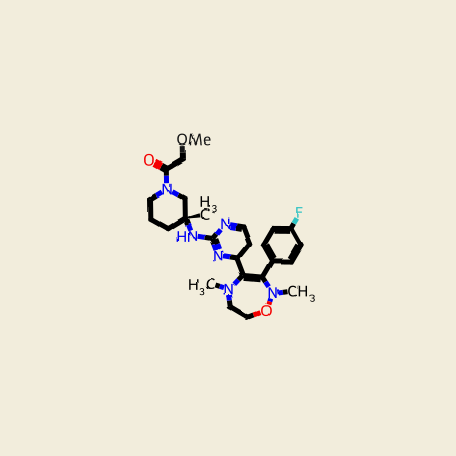 COCC(=O)N1CCC[C@@](C)(NC2=NC(C3=C(c4ccc(F)cc4)N(C)OCCN3C)CC=N2)C1